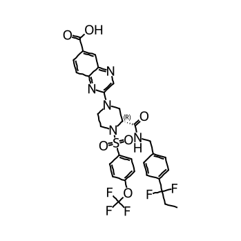 CCC(F)(F)c1ccc(CNC(=O)[C@H]2CN(c3cnc4cc(C(=O)O)ccc4n3)CCN2S(=O)(=O)c2ccc(OC(F)(F)F)cc2)cc1